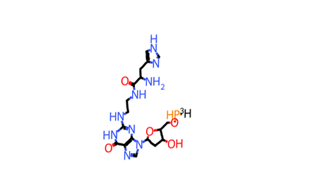 [3H]POCC1OC(n2cnc3c(=O)[nH]c(NCCNC(=O)C(N)Cc4c[nH]cn4)nc32)CC1O